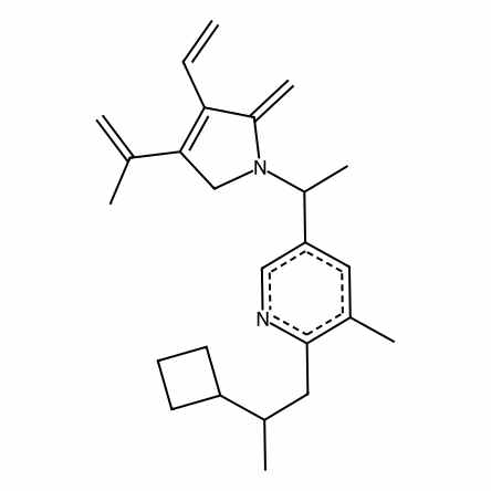 C=CC1=C(C(=C)C)CN(C(C)c2cnc(CC(C)C3CCC3)c(C)c2)C1=C